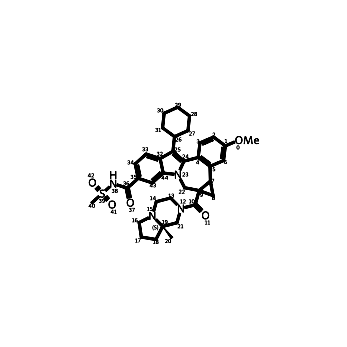 COc1ccc2c(c1)C1CC1(C(=O)N1CCN3CCC[C@@]3(C)C1)Cn1c-2c(C2CCCCC2)c2ccc(C(=O)NS(C)(=O)=O)cc21